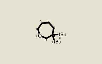 CC(C)(C)C1(C(C)(C)C)CCCCOC1